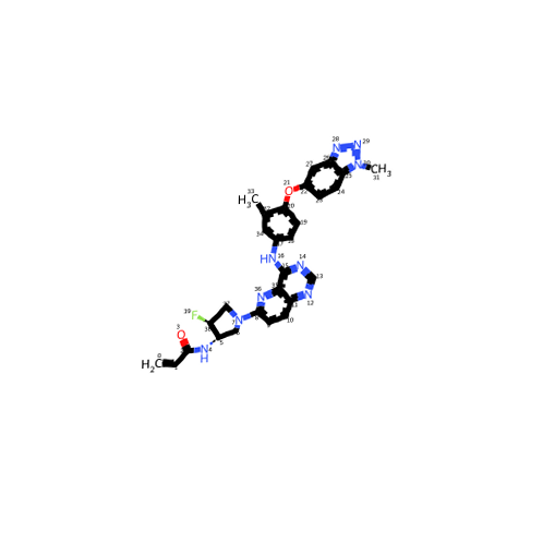 C=CC(=O)N[C@H]1CN(c2ccc3ncnc(Nc4ccc(Oc5ccc6c(c5)nnn6C)c(C)c4)c3n2)C[C@@H]1F